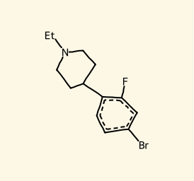 CCN1CCC(c2ccc(Br)cc2F)CC1